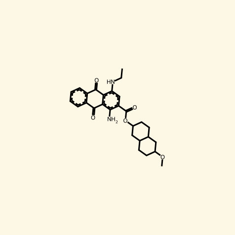 CCNc1cc(C(=O)OC2CCC3CC(OC)CCC3C2)c(N)c2c1C(=O)c1ccccc1C2=O